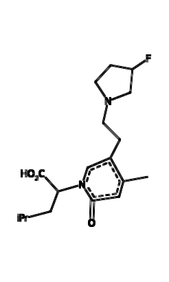 Cc1cc(=O)n(C(CC(C)C)C(=O)O)cc1CCN1CCC(F)C1